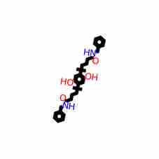 CC(C)(CCCC(=O)NCc1ccccc1)c1cc(O)c(C(C)(C)CCCC(=O)NCc2ccccc2)cc1O